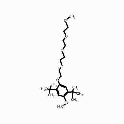 COCCOCCOCCOCCOc1cc(C(C)(C)C)c(OC)cc1C(C)(C)C